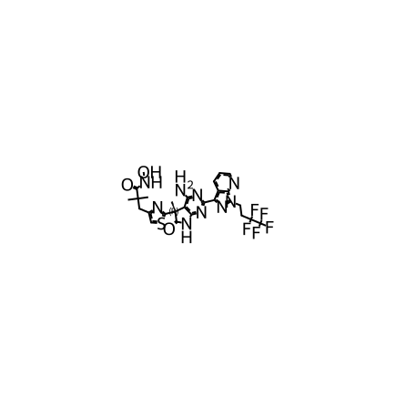 CC(C)(Cc1csc([C@@]2(C)C(=O)Nc3nc(-c4nn(CCC(F)(F)C(F)(F)F)c5ncccc45)nc(N)c32)n1)C(=O)NO